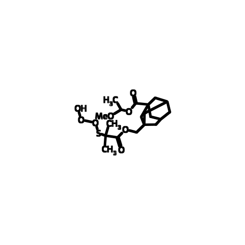 COC(C)OC(=O)C12CC3CC(CC(COC(=O)C(C)(C)SOOO)(C3)C1)C2